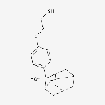 OC1(c2ccc(OCC[SiH3])cc2)C2CC3CC(C2)CC1C3